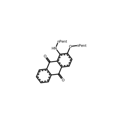 CCCCCNc1c(OCCCCC)ccc2c1C(=O)c1ccccc1C2=O